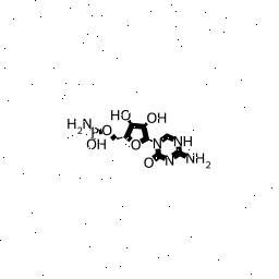 NC1=NC(=O)N([C@@H]2O[C@H](COP(N)O)[C@@H](O)[C@H]2O)CN1